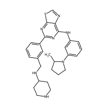 CC1CCCN1c1cccc(Nc2nc(-c3cccc(CNC4CCNCC4)c3)nc3scnc23)c1